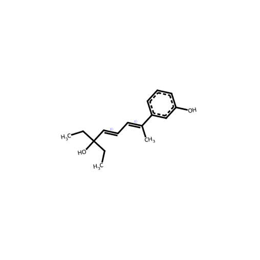 CCC(O)(/C=C/C=C(\C)c1cccc(O)c1)CC